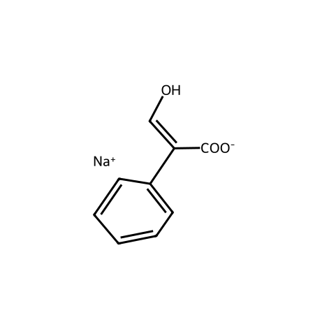 O=C([O-])C(=CO)c1ccccc1.[Na+]